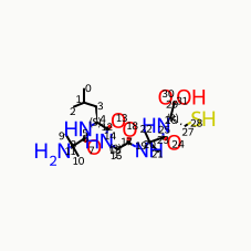 CC(C)C[C@H](NC(=O)C(C)(C)N)C(=O)N[C@@H](C)C(=O)NC(C)(C)C(=O)N[C@@H](CS)C(=O)O